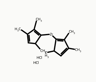 CC1=CC(C)[C]([Zr][C]2=C(C)C(C)=CC2C)=C1C.Cl.Cl